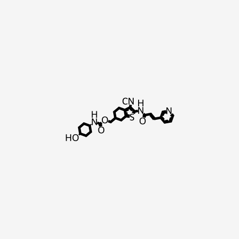 N#Cc1c(NC(=O)/C=C/c2cccnc2)sc2c1CCC(COC(=O)N[C@H]1CC[C@H](O)CC1)C2